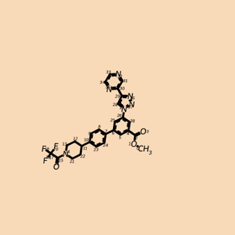 COC(=O)c1cc(-c2ccc(C3CCN(C(=O)C(F)(F)F)CC3)cc2)cc(-n2cc(-c3cnccn3)nn2)c1